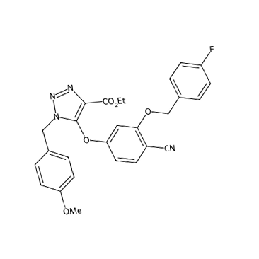 CCOC(=O)c1nnn(Cc2ccc(OC)cc2)c1Oc1ccc(C#N)c(OCc2ccc(F)cc2)c1